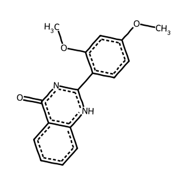 COc1ccc(-c2nc(=O)c3ccccc3[nH]2)c(OC)c1